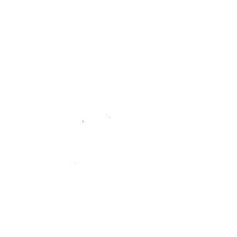 C=CCCC(Nc1ccc(OC)cc1)c1c(F)cncc1Br